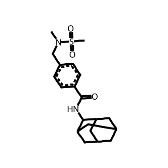 CN(Cc1ccc(C(=O)NC2C3CC4CC(C3)CC2C4)cc1)S(C)(=O)=O